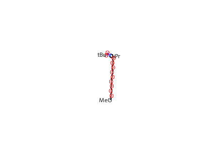 COCCOCCOCCOCCOCCOCCOCCOCCOCCOC1(C(C)C)CCN(C(=O)OC(C)(C)C)CC1